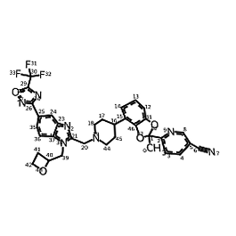 CC1(c2ccc(C#N)cn2)Oc2cccc(C3CCN(Cc4nc5cc(-c6noc(C(F)(F)F)n6)ccc5n4CC4CCO4)CC3)c2O1